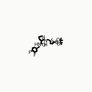 CC1(C)OB(C2=CCC(CNc3ncccc3C(=O)NCc3ccc(F)c(F)c3)S2)OC1(C)C